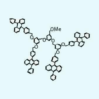 COCc1cc(OCc2cc(OCc3ccc(-c4c5ccccc5c(-c5ccccc5)c5ccccc45)cc3)cc(OCc3ccc(-c4c5ccccc5c(-c5ccccc5)c5ccccc45)cc3)c2)cc(OCc2cc(OCc3ccc(-c4c5ccccc5c(-c5ccccc5)c5ccccc45)cc3)cc(OCc3ccc(-c4c5ccccc5c(-c5ccccc5)c5ccccc45)cc3)c2)c1